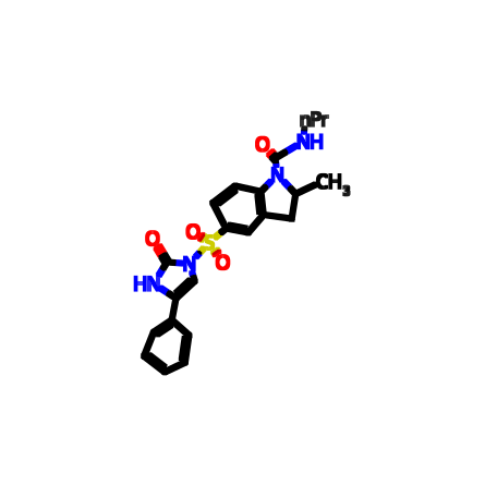 CCCNC(=O)N1c2ccc(S(=O)(=O)n3cc(-c4ccccc4)[nH]c3=O)cc2CC1C